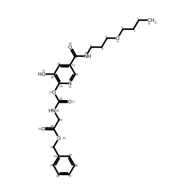 CCCCOCCCNC(=O)c1cnc(OC(=O)NCC(=O)OCc2ccccc2)c(O)c1